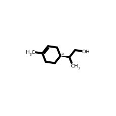 CC1=CC[C@@H](C(C)CO)CC1